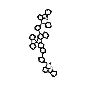 c1ccc(N(c2cccc(-c3cc4c(c5ccccc35)-c3cc5ccc(-c6cccc(Nc7cccc8c7oc7ccccc78)c6)cc5cc3C43c4ccccc4-c4ccccc43)c2)c2cccc3c2oc2ccccc23)cc1